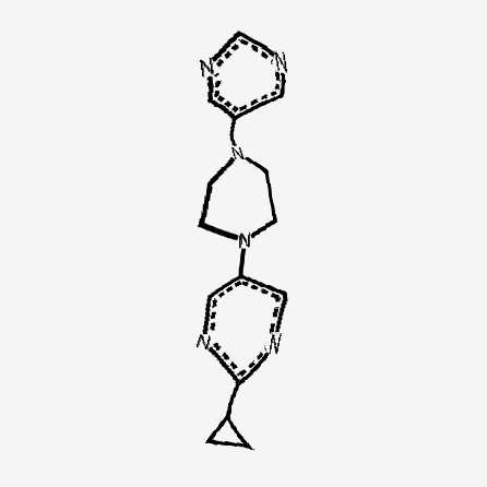 c1ncc(N2CCN(c3cnc(C4CC4)nc3)CC2)cn1